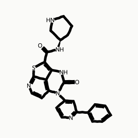 O=C(N[C@@H]1CCCNC1)c1sc2nccc3c2c1NC(=O)N3c1ccnc(-c2ccccc2)c1